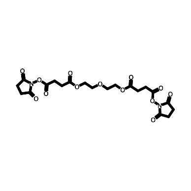 O=C(CCC(=O)ON1C(=O)CCC1=O)OCCOCCOC(=O)CCC(=O)ON1C(=O)CCC1=O